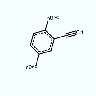 C#Cc1cc(CCCCCCCCCC)ccc1CCCCCCCCCC